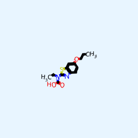 CCCOc1ccc2nc(N(CC)C(=O)O)sc2c1